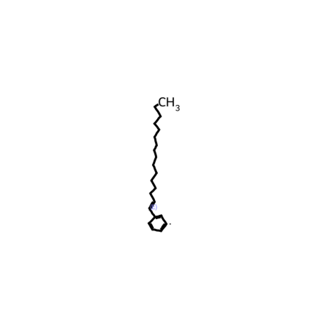 CCCCCCCCCCCCCC/C=C/c1c[c]ccc1